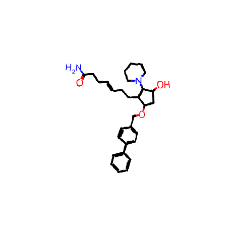 NC(=O)CCC=CCCC1C(OCc2ccc(-c3ccccc3)cc2)CC(O)C1N1CCCCC1